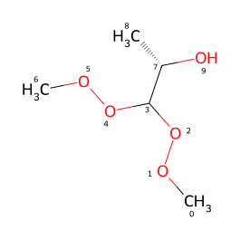 COOC(OOC)[C@H](C)O